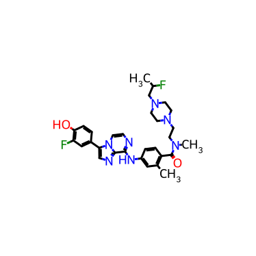 Cc1cc(Nc2nccn3c(-c4ccc(O)c(F)c4)cnc23)ccc1C(=O)N(C)CCN1CCN(CC(C)F)CC1